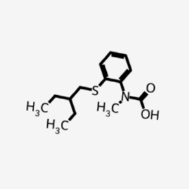 CCC(CC)CSc1ccccc1N(C)C(=O)O